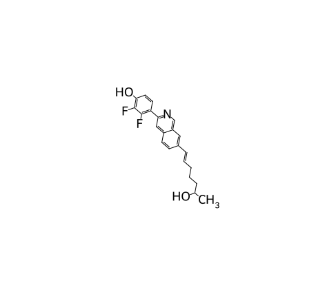 CC(O)CCC/C=C/c1ccc2cc(-c3ccc(O)c(F)c3F)ncc2c1